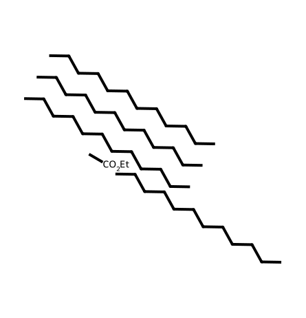 CCCCCCCCCCCC.CCCCCCCCCCCC.CCCCCCCCCCCC.CCCCCCCCCCCC.CCOC(C)=O